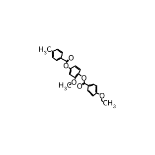 CCOc1ccc(C(=O)Oc2ccc(OC(=O)c3ccc(C)cc3)cc2OC)cc1